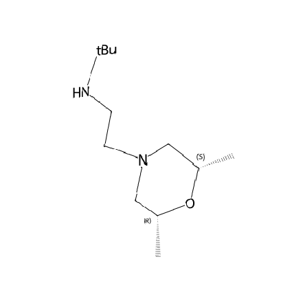 C[C@@H]1CN(CCNC(C)(C)C)C[C@H](C)O1